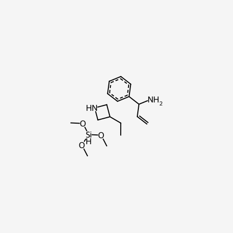 C=CC(N)c1ccccc1.CCC1CNC1.CO[SiH](OC)OC